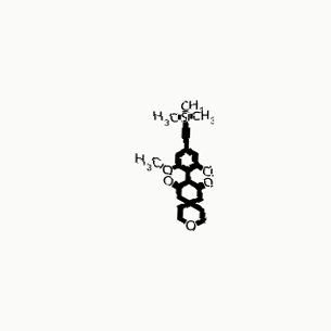 COc1cc(C#C[Si](C)(C)C)cc(Cl)c1C1C(=O)CC2(CCOCC2)CC1=O